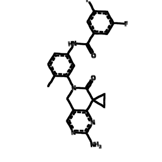 Cc1ccc(NC(=O)c2cc(F)cc(F)c2)cc1N1Cc2cnc(N)nc2C2(CC2)C1=O